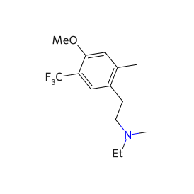 CCN(C)CCc1cc(C(F)(F)F)c(OC)cc1C